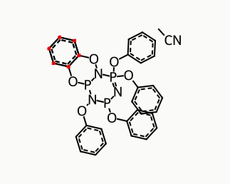 CC#N.c1ccc(ON2P(Oc3ccccc3)N=P(Oc3ccccc3)(Oc3ccccc3)N(Oc3ccccc3)P2Oc2ccccc2)cc1